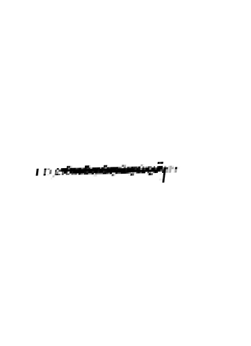 CCCNC(=O)CCOCCOCCOCCOCCOCCOCCOCCOCCOCCOCCC(=O)O